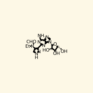 CCN(C=O)c1c[nH]nc1-c1nc(N)c2ncn([C@@H]3O[C@H](CO)[C@@H](O)[C@H]3O)c2n1